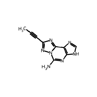 CC#Cc1nc2c3nc[nH]c3nc(N)n2n1